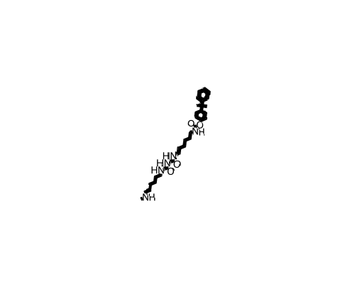 CNCCCCCCNC(=O)NC(=O)NCCCCCCNC(=O)Oc1ccc(C(C)(C)c2ccccc2)cc1